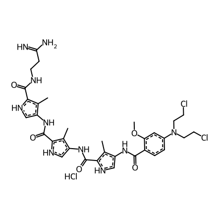 COc1cc(N(CCCl)CCCl)ccc1C(=O)Nc1c[nH]c(C(=O)Nc2c[nH]c(C(=O)Nc3c[nH]c(C(=O)NCCC(=N)N)c3C)c2C)c1C.Cl